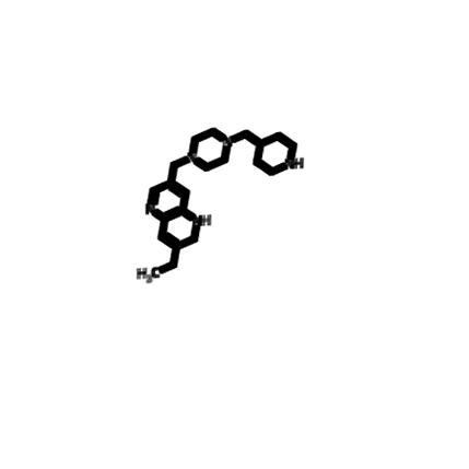 CCC1=Cc2ncc(CN3CCN(CC4CCNCC4)CC3)cc2NC1